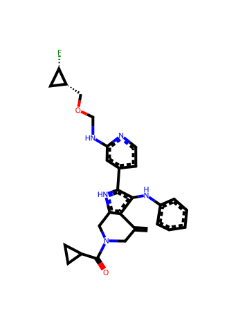 C=C1CN(C(=O)C2CC2)Cc2[nH]c(-c3ccnc(NCOC[C@@H]4C[C@@H]4F)c3)c(Nc3ccccc3)c21